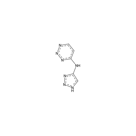 c1cc(Nc2c[nH]nn2)nnn1